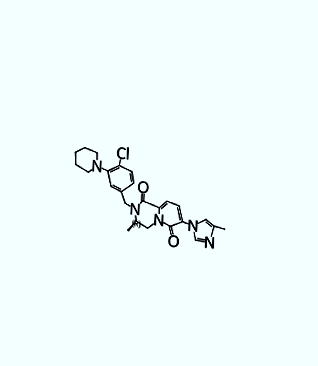 Cc1cn(-c2ccc3n(c2=O)C[C@@H](C)N(Cc2ccc(Cl)c(N4CCCCC4)c2)C3=O)cn1